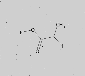 CC(I)C(=O)OI